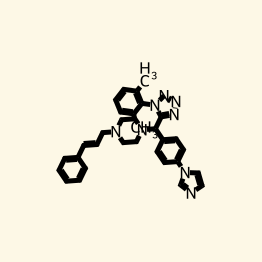 Cc1cccc(C)c1-n1nnnc1C(c1ccc(-n2ccnc2)cc1)N1CCN(CC=Cc2ccccc2)CC1